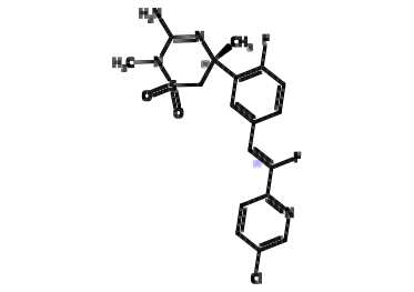 CN1C(N)=N[C@](C)(c2cc(/C=C(\F)c3ccc(Cl)cn3)ccc2F)CS1(=O)=O